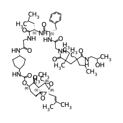 CCCC(C)(CC(C)(CC)C(=O)NCC(=O)N[C@@H](Cc1ccccc1)C(=O)N[C@@H](CC(C)C)C(=O)NCC(=O)N[C@H]1CC[C@H](NC(=O)O[C@@H]2CC[C@]3(CO3)[C@@H]([C@@]3(C)O[C@@H]3CC=C(C)C)[C@@H]2OC)CC1)C(=O)NCC(C)O